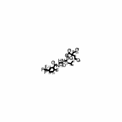 CC(C)C[C@H](NC(=O)CNC(=O)c1cc(C(F)(F)F)ccc1F)B1OC(=O)C(CC=O)(CC=O)O1